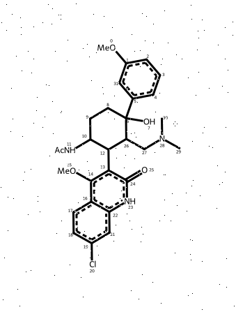 COc1cccc(C2(O)CCC(NC(C)=O)C(c3c(OC)c4ccc(Cl)cc4[nH]c3=O)C2CN(C)C)c1